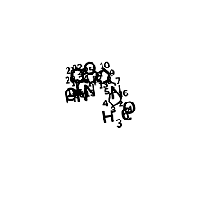 COC1CCCN(Cc2ccc3c(c2)-c2n[nH]c(=O)c4cccc(c24)O3)C1